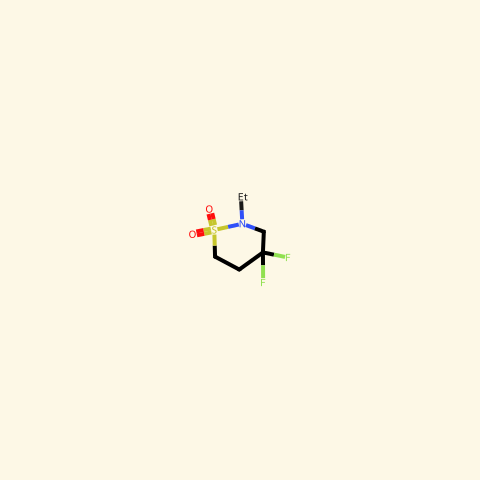 CCN1CC(F)(F)CCS1(=O)=O